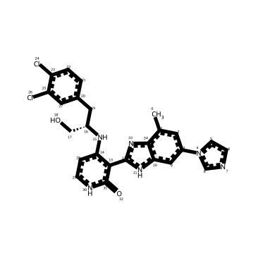 Cc1cc(-n2ccnc2)cc2[nH]c(-c3c(N[C@H](CO)Cc4ccc(Cl)c(Cl)c4)cc[nH]c3=O)nc12